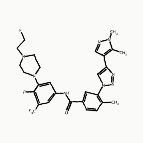 Cc1ccc(C(=O)Nc2cc(N3CCN(CCF)CC3)c(F)c(C(F)(F)F)c2)cc1-n1cc(-c2cnn(C)c2C)nn1